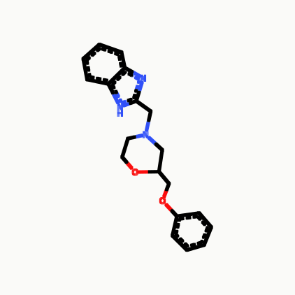 c1ccc(OCC2CN(Cc3nc4ccccc4[nH]3)CCO2)cc1